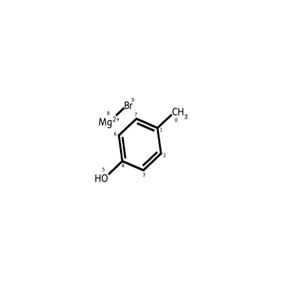 Cc1ccc(O)cc1.[Mg+2][Br]